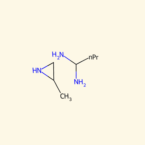 CC1CN1.CCCC(N)N